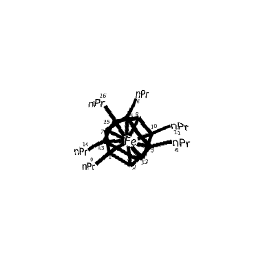 CCC[C]12[CH]3[C]4(CCC)[C]5(CCC)[CH]1[Fe]32451678[CH]2[C]1(CCC)[CH]6[C]7(CCC)[C]28CCC